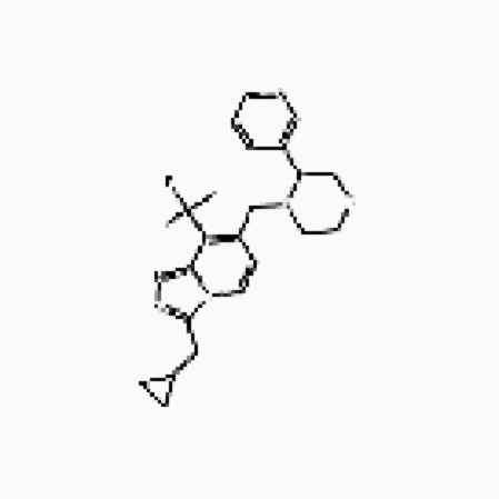 FC(F)(F)c1c(CN2CCOCC2c2ccccc2)ccn2c(CC3CC3)nnc12